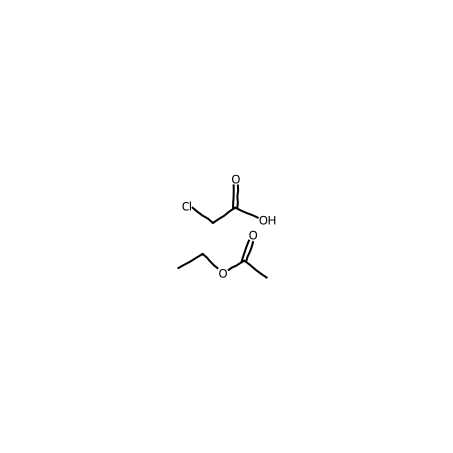 CCOC(C)=O.O=C(O)CCl